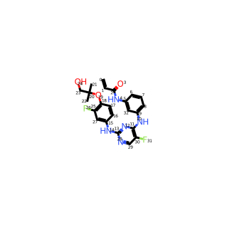 C=CC(=O)Nc1cccc(Nc2nc(Nc3ccc(OC(C)(C)CO)c(F)c3)ncc2F)c1